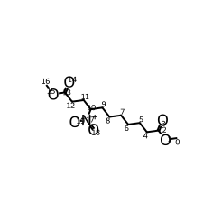 COC(=O)CCCCCCC(CCC(=O)OC)[N+](=O)[O-]